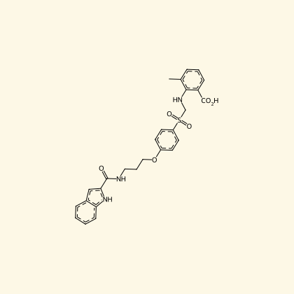 Cc1cccc(C(=O)O)c1NCS(=O)(=O)c1ccc(OCCCNC(=O)c2cc3ccccc3[nH]2)cc1